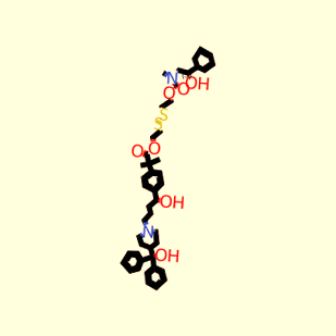 CN(C[C@@H](O)C1C=CC=CC1)C(=O)OCCSSCCOC(=O)C(C)(C)c1ccc(C(O)CCCN2CCC(C(O)(c3ccccc3)c3ccccc3)CC2)cc1